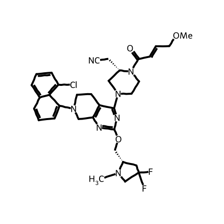 COC/C=C/C(=O)N1CCN(c2nc(OC[C@@H]3CC(F)(F)CN3C)nc3c2CCN(c2cccc4cccc(Cl)c24)C3)C[C@@H]1CC#N